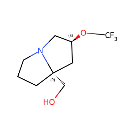 OC[C@]12CCCN1C[C@@H](OC(F)(F)F)C2